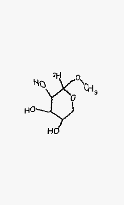 [2H]C1(OC)OCC(O)C(O)C1O